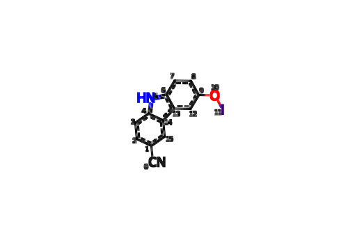 N#Cc1ccc2[nH]c3ccc(OI)cc3c2c1